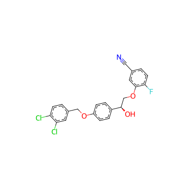 N#Cc1ccc(F)c(OC[C@@H](O)c2ccc(OCc3ccc(Cl)c(Cl)c3)cc2)c1